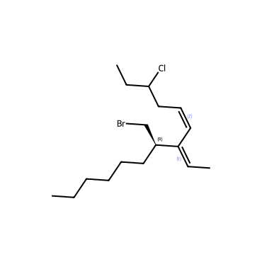 C/C=C(\C=C/CC(Cl)CC)[C@H](CBr)CCCCCC